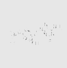 C#C[C@]1(CO)O[C@@H](n2cnc3c(N)nc(F)nc32)C[C@@H]1OC(=O)OC12CC3CC(CC(C3)C1)C2